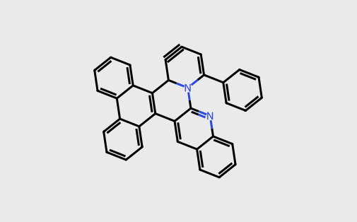 C1#CC2c3c(c4ccccc4c4ccccc34)-c3cc4ccccc4nc3N2C(c2ccccc2)=C1